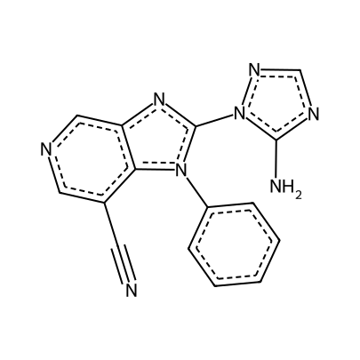 N#Cc1cncc2nc(-n3ncnc3N)n(-c3ccccc3)c12